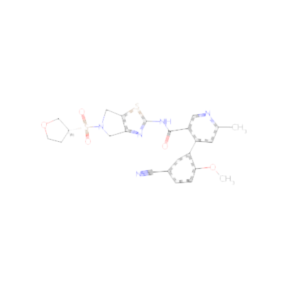 COc1ccc(C#N)cc1-c1cc(C)ncc1C(=O)Nc1nc2c(s1)CN(S(=O)(=O)[C@@H]1CCOC1)C2